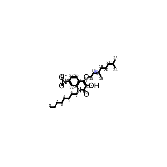 CCCCCCCCn1c(=O)c(O)c(OC/C=C(\C)CCC=C(C)C)c2ccc([N+](=O)[O-])cc21